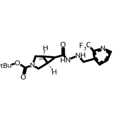 CC(C)(C)OC(=O)N1C[C@@H]2C(C(=O)NNCc3cccnc3C(F)(F)F)[C@@H]2C1